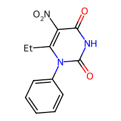 CCc1c([N+](=O)[O-])c(=O)[nH]c(=O)n1-c1ccccc1